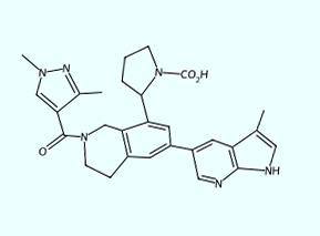 Cc1nn(C)cc1C(=O)N1CCc2cc(-c3cnc4[nH]cc(C)c4c3)cc(C3CCCN3C(=O)O)c2C1